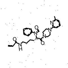 C=CC(=O)NCCCC[C@@H](C(=O)N1CCN(c2cccc(C)n2)CC1)N(C=O)c1ccccc1